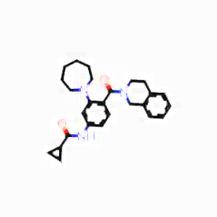 O=C(Nc1ccc(C(=O)N2CCc3ccccc3C2)c(N2CCCCCC2)c1)C1CC1